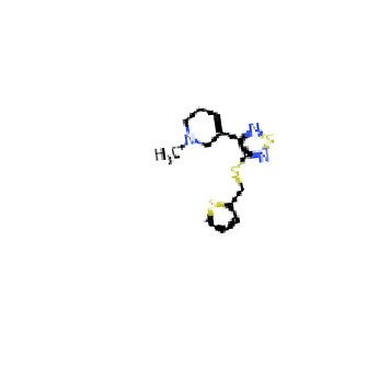 CN1CCC=C(c2nsnc2SCc2cccs2)C1